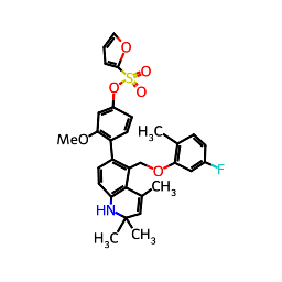 COc1cc(OS(=O)(=O)c2ccco2)ccc1-c1ccc2c(c1COc1cc(F)ccc1C)C(C)=CC(C)(C)N2